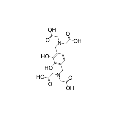 O=C(O)CN(CC(=O)O)Cc1ccc(CN(CC(=O)O)CC(=O)O)c(O)c1O